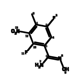 Cc1c(F)cc(/C(N)=N/O)c(F)c1[N+](=O)[O-]